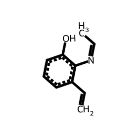 C=Cc1cccc(O)c1/N=C\C